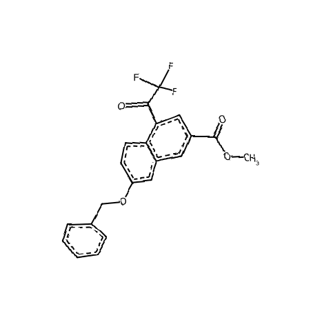 COC(=O)c1cc(C(=O)C(F)(F)F)c2ccc(OCc3ccccc3)cc2c1